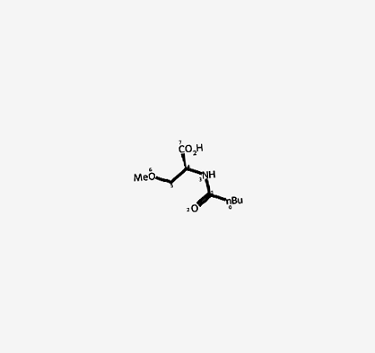 CCCCC(=O)N[C@@H](COC)C(=O)O